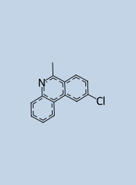 Cc1nc2ccccc2c2cc(Cl)ccc12